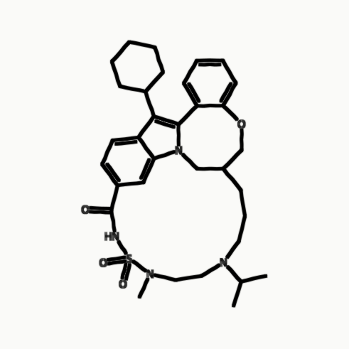 CC(C)N1CCCC2COc3ccccc3-c3c(C4CCCCC4)c4ccc(cc4n3C2)C(=O)NS(=O)(=O)N(C)CC1